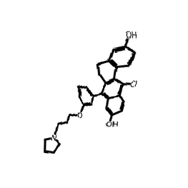 Oc1ccc2c(c1)CCc1c-2c(Cl)c2ccc(O)cc2c1-c1cccc(OCCCN2CCCC2)c1